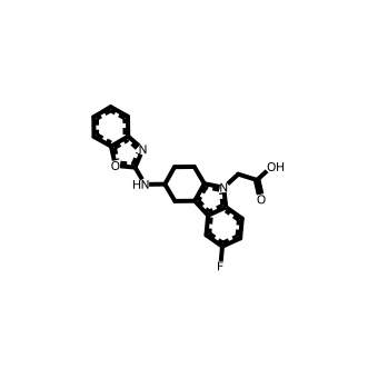 O=C(O)Cn1c2c(c3cc(F)ccc31)CC(Nc1nc3ccccc3o1)CC2